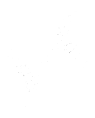 c1cc(C(CCCCCCCCCCC(c2ccc(OCC3CO3)cc2)c2ccc(OCC3CO3)cc2)c2ccc(OCC3CO3)cc2)ccc1OCC1CO1